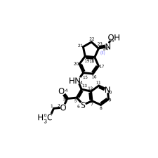 CCOC(=O)c1sc2ccncc2c1Nc1ccc2c(c1)CC/C2=N\O